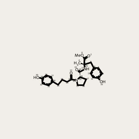 COC(=O)[C@](C)(Cc1ccc(O)cc1)NC(=O)[C@@H]1CCCN1C(=O)CCCc1ccc(O)cc1